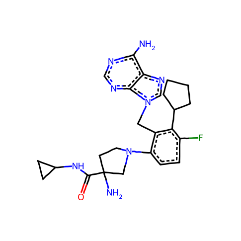 Nc1ncnc2c1ncn2Cc1c(N2CCC(N)(C(=O)NC3CC3)C2)ccc(F)c1C1CCCC1